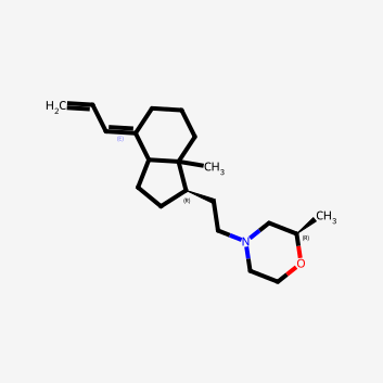 C=C/C=C1\CCCC2(C)C1CC[C@@H]2CCN1CCO[C@H](C)C1